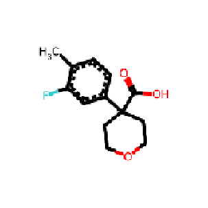 Cc1ccc(C2(C(=O)O)CCOCC2)cc1F